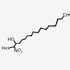 CCCCCCC(C(O)CCCCCCCCCCCCCC=O)[N+](=O)[O-]